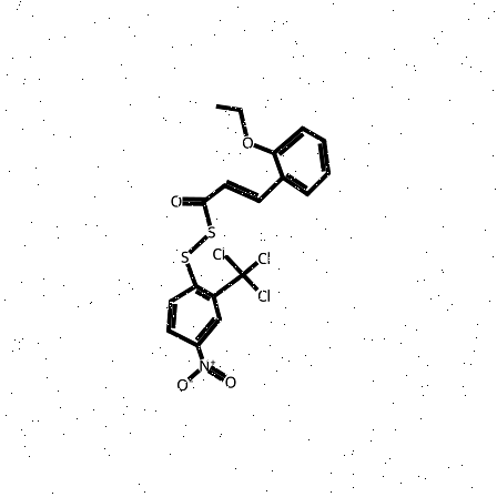 CCOc1ccccc1C=CC(=O)SSc1ccc([N+](=O)[O-])cc1C(Cl)(Cl)Cl